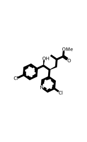 COC(=O)C(C)C[C@@H](c1cncc(Cl)c1)[C@H](O)c1ccc(Cl)cc1